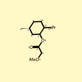 COCC(=O)OC1C[C@H](C)CCC1C(C)C